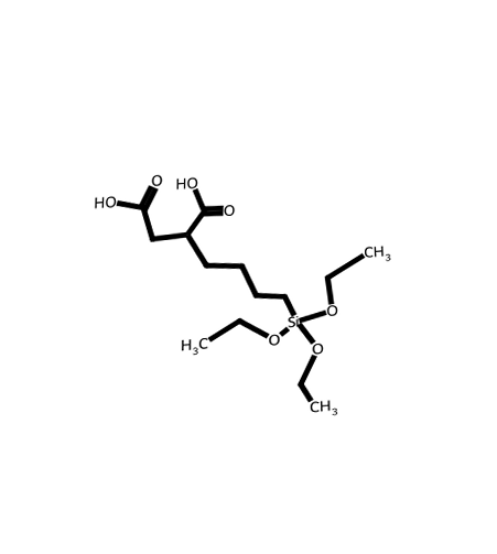 CCO[Si](CCCCC(CC(=O)O)C(=O)O)(OCC)OCC